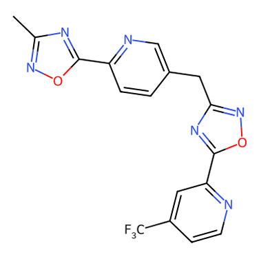 Cc1noc(-c2ccc(Cc3noc(-c4cc(C(F)(F)F)ccn4)n3)cn2)n1